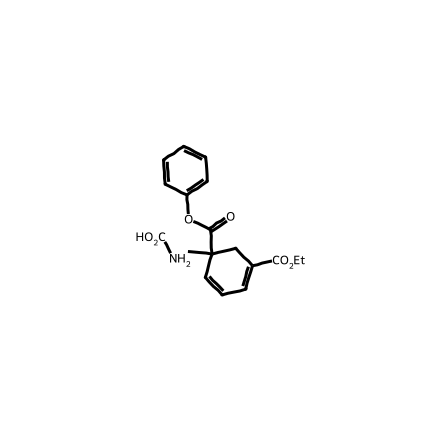 CCOC(=O)C1=CC=CC(C)(C(=O)Oc2ccccc2)C1.NC(=O)O